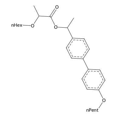 CCCCCCOC(C)C(=O)OC(C)c1ccc(-c2ccc(OCCCCC)cc2)cc1